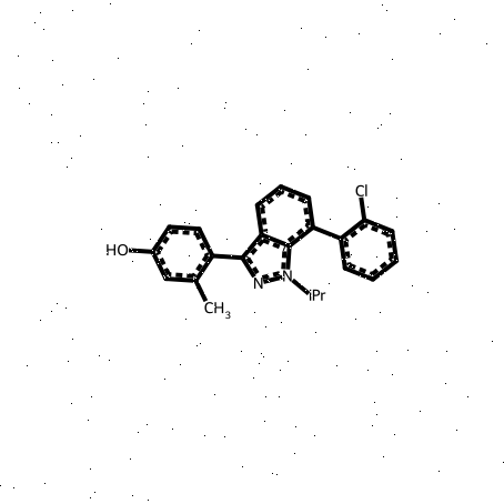 Cc1cc(O)ccc1-c1nn(C(C)C)c2c(-c3ccccc3Cl)cccc12